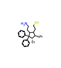 CCCC1C(CCS)C(CCN)C(c2ccccc2)(c2ccccc2)[C@H]1CC